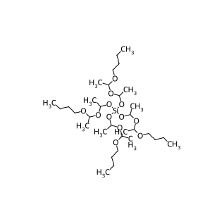 CCCCOC(C)OC(C)O[Si](OC(C)OC(C)OCCCC)(OC(C)OC(C)OCCCC)OC(C)OC(C)OCCCC